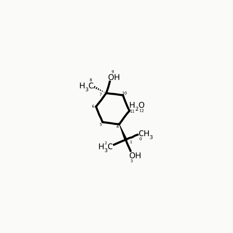 CC(C)(O)[C@H]1CC[C@@](C)(O)CC1.O